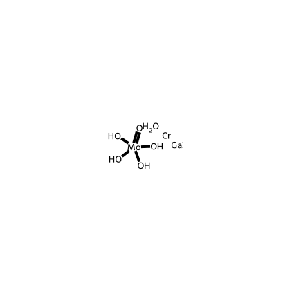 O.[Cr].[Ga].[O]=[Mo]([OH])([OH])([OH])[OH]